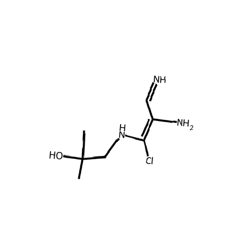 CC(C)(O)CN/C(Cl)=C(/N)C=N